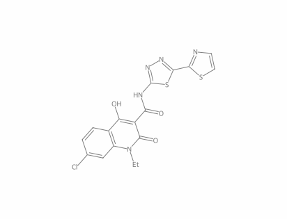 CCn1c(=O)c(C(=O)Nc2nnc(-c3nccs3)s2)c(O)c2ccc(Cl)cc21